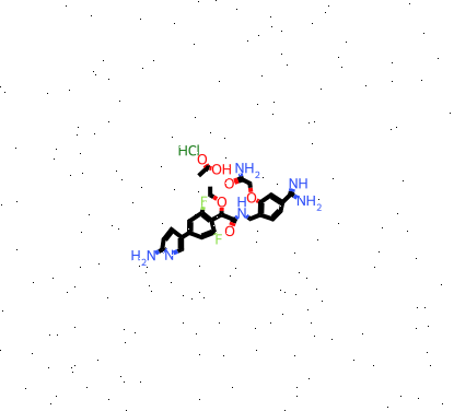 CC(=O)O.CCOC(C(=O)NCc1ccc(C(=N)N)cc1OCC(N)=O)c1c(F)cc(-c2ccc(N)nc2)cc1F.Cl